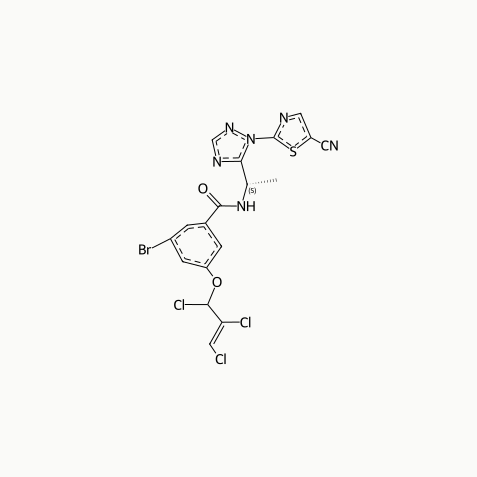 C[C@H](NC(=O)c1cc(Br)cc(OC(Cl)C(Cl)=CCl)c1)c1ncnn1-c1ncc(C#N)s1